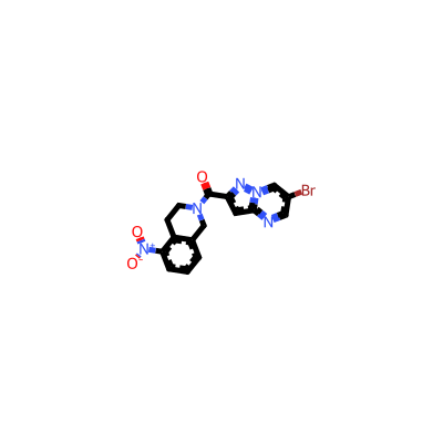 O=C(c1cc2ncc(Br)cn2n1)N1CCc2c(cccc2[N+](=O)[O-])C1